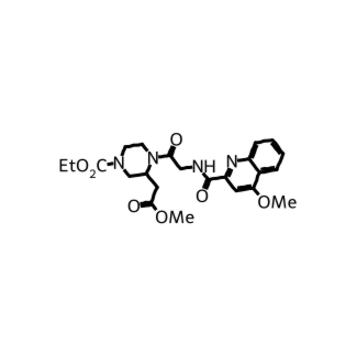 CCOC(=O)N1CCN(C(=O)CNC(=O)c2cc(OC)c3ccccc3n2)C(CC(=O)OC)C1